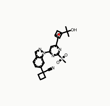 CC(C)(O)C12CC(C1)N(c1cc(-n3ncc4ccc(C5(C#N)CCC5)cc43)nc(S(C)(=O)=O)n1)C2